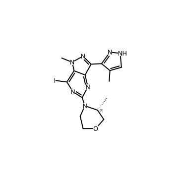 Cc1c[nH]nc1-c1nn(C)c2c(I)nc(N3CCOC[C@H]3C)nc12